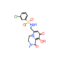 CN1CCn2c(CNS(=O)(=O)c3cccc(Cl)c3)cc(=O)c(O)c2C1=O